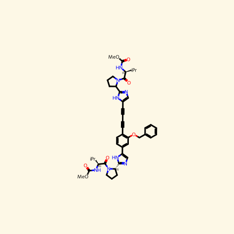 COC(=O)N[C@H](C(=O)N1CCCC1c1ncc(C#CC#Cc2ccc(-c3cnc([C@@H]4CCCN4C(=O)[C@@H](NC(=O)OC)C(C)C)[nH]3)cc2OCc2ccccc2)[nH]1)C(C)C